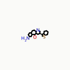 Nc1ccc2ccc3ncc(-c4csc5ccccc45)cc3c(=O)c2c1